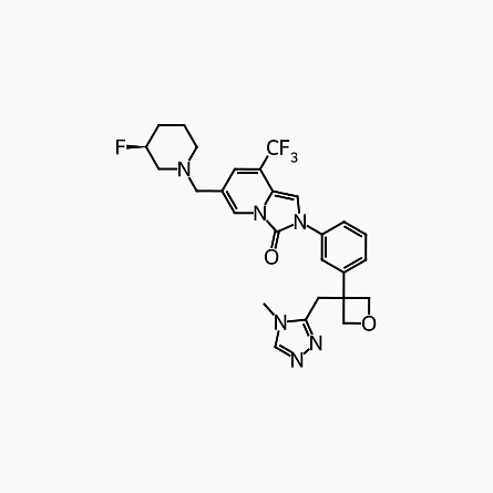 Cn1cnnc1CC1(c2cccc(-n3cc4c(C(F)(F)F)cc(CN5CCC[C@H](F)C5)cn4c3=O)c2)COC1